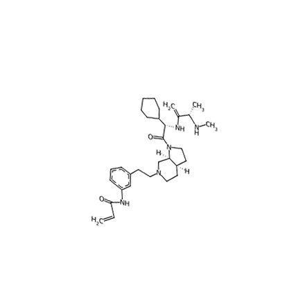 C=CC(=O)Nc1cccc(CCN2CC[C@@H]3CCN(C(=O)[C@@H](NC(=C)[C@H](C)NC)C4CCCCC4)[C@@H]3C2)c1